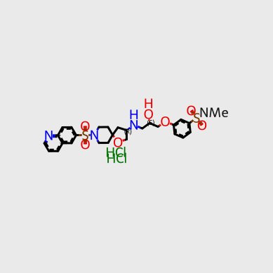 CNS(=O)(=O)c1cccc(OC[C@@H](O)CN[C@H]2COC3(CCN(S(=O)(=O)c4ccc5ncccc5c4)CC3)C2)c1.Cl.Cl